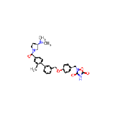 Cc1cc(C(=O)N2CC[C@@H](N(C)C)C2)ccc1-c1cccc(COc2ccc(Cn3oc(=O)[nH]c3=O)cc2)c1